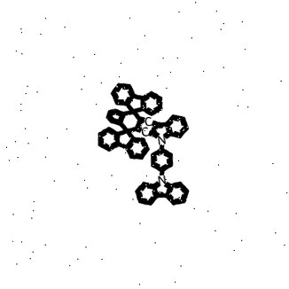 c1ccc2c(c1)-c1ccccc1C21c2ccccc2C2(c3ccccc3-c3ccccc32)c2cc3c(cc21)c1ccccc1n3-c1ccc(-n2c3ccccc3c3ccccc32)cc1